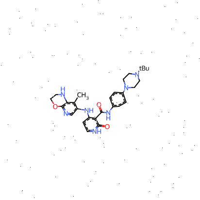 Cc1c(Nc2cc[nH]c(=O)c2C(=O)Nc2ccc(N3CCN(C(C)(C)C)CC3)cc2)cnc2c1NCCO2